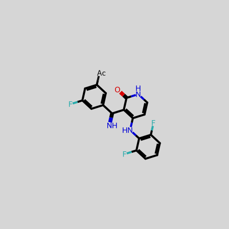 CC(=O)c1cc(F)cc(C(=N)c2c(Nc3c(F)cccc3F)cc[nH]c2=O)c1